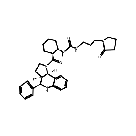 O=C(NCCCN1CCCC1=O)N[C@@H]1CCCC[C@@H]1C(=O)N1CC[C@@H]2[C@H](c3ccccc3)Nc3ccccc3[C@@H]21